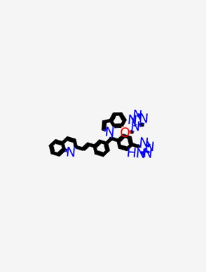 C(=C\c1ccc2ccccc2n1)/c1cccc(C(c2ccc(-c3nnn[nH]3)cc2)n2ccc3cccc(OCn4cnnn4)c32)c1